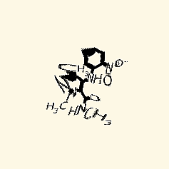 CNC(=O)c1c(Nc2ccccc2[N+](=O)[O-])c(C)nn1C